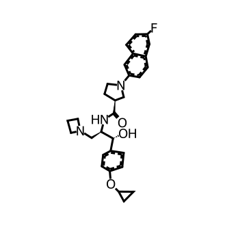 O=C(N[C@H](CN1CCC1)[C@H](O)c1ccc(OC2CC2)cc1)[C@H]1CCN(c2ccc3cc(F)ccc3c2)C1